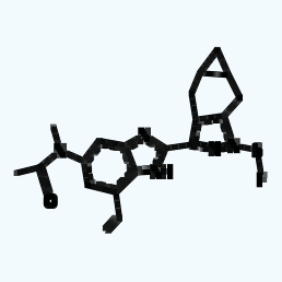 C=Cc1cc(N(C)C(C)=O)cc2nc(-c3nn(SF)c4c3CC3CC3C4)[nH]c12